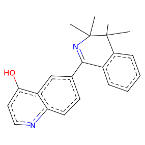 CC1(C)N=C(c2ccc3nccc(O)c3c2)c2ccccc2C1(C)C